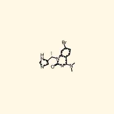 C[C@@H](c1cnc[nH]1)n1c(=O)nc(N(C)C)c2ccc(Br)cc21